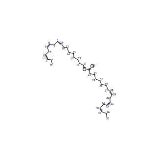 CC/C=C\C/C=C\C/C=C\CCCCCCCCOC(=O)CCCCCCC/C=C\C/C=C\C/C=C\CC